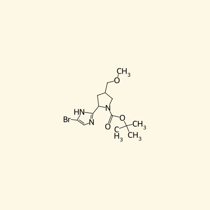 COCC1CC(c2ncc(Br)[nH]2)N(C(=O)OC(C)(C)C)C1